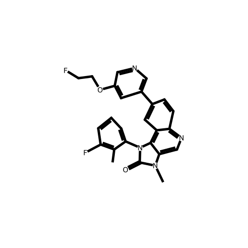 Cc1c(F)cccc1-n1c(=O)n(C)c2cnc3ccc(-c4cncc(OCCF)c4)cc3c21